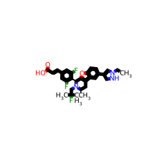 CCN1C=C(c2ccc3oc4c(c3c2)C[C@H](C)N(CC(C)(C)F)[C@H]4c2c(F)cc(/C=C/C(=O)O)cc2F)CN1